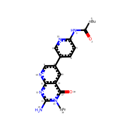 CCCCC(=O)Nc1ccc(-c2cnc3nc(N)n(CCC)c(=O)c3c2)cn1